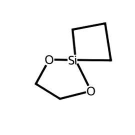 C1C[Si]2(C1)OCCO2